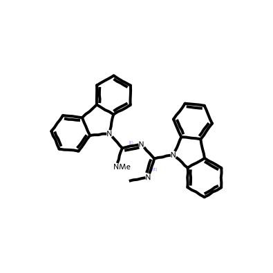 C/N=C(\N=C(/NC)n1c2ccccc2c2ccccc21)n1c2ccccc2c2ccccc21